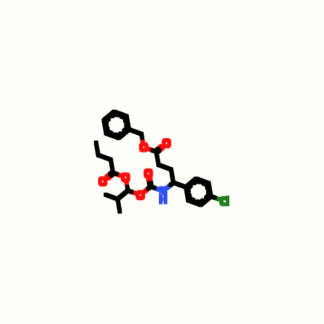 CCCC(=O)OC(OC(=O)NC(CCC(=O)OCc1ccccc1)c1ccc(Cl)cc1)C(C)C